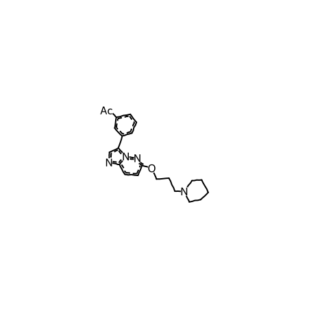 CC(=O)c1cccc(-c2cnc3ccc(OCCCN4CCCCC4)nn23)c1